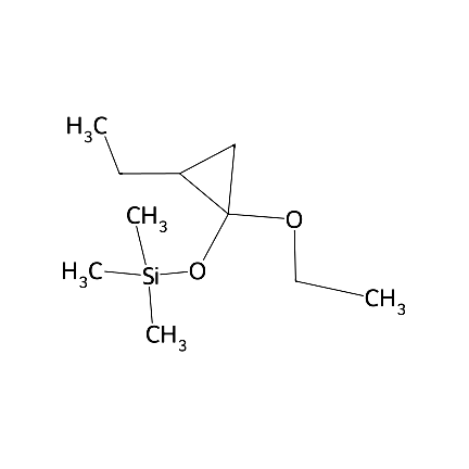 CCOC1(O[Si](C)(C)C)CC1CC